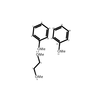 COCCOC.COc1ccccc1.COc1ccccc1